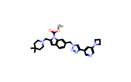 CC1(C)CCN(Cc2cc3ccc(Cn4cc(-c5cncc(N6CCC6)c5)nn4)cc3n2C(=O)OC(C)(C)C)CC1